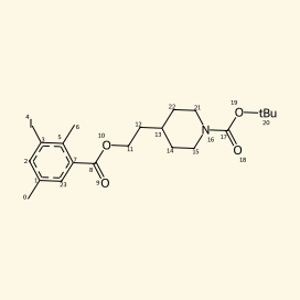 Cc1cc(I)c(C)c(C(=O)OCCC2CCN(C(=O)OC(C)(C)C)CC2)c1